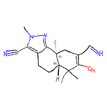 Cn1nc2c(c1C#N)CC[C@H]1C(C)(C)C(O)=C(C=N)C[C@]21C